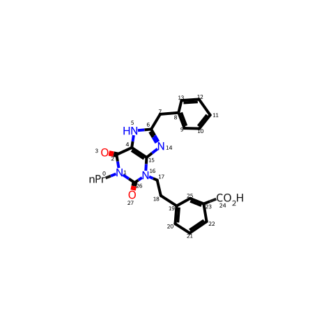 CCCn1c(=O)c2[nH]c(Cc3ccccc3)nc2n(CCc2cccc(C(=O)O)c2)c1=O